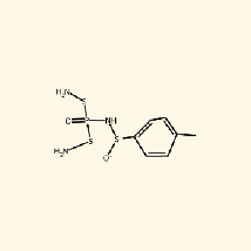 Cc1ccc([S+]([O-])NP(=O)(SN)SN)cc1